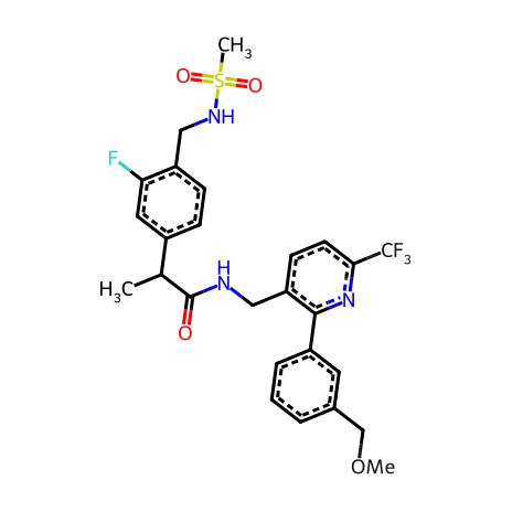 COCc1cccc(-c2nc(C(F)(F)F)ccc2CNC(=O)C(C)c2ccc(CNS(C)(=O)=O)c(F)c2)c1